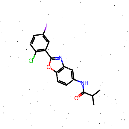 CC(C)C(=O)Nc1ccc2oc(-c3cc(I)ccc3Cl)nc2c1